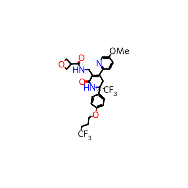 COc1ccc(C2=C(CNC(=O)C3COC3)C(=O)N[C@@](c3ccc(OCCCC(F)(F)F)cc3)(C(F)(F)F)C2)nc1